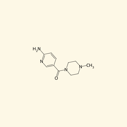 CN1CCN(C(=O)c2ccc(N)nc2)CC1